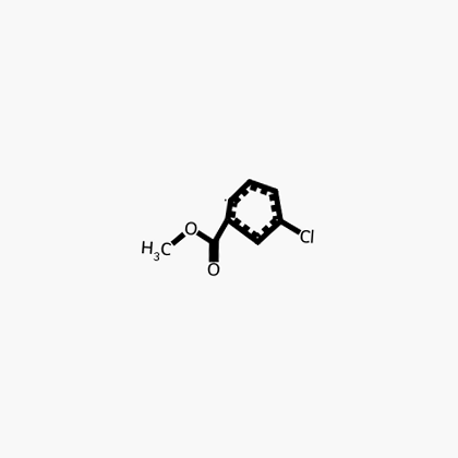 COC(=O)c1[c]ccc(Cl)c1